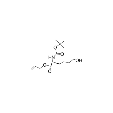 C=CCOC(=O)[C@H](CCCCO)NC(=O)OC(C)(C)C